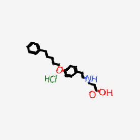 Cl.O=C(O)CCNCCc1ccc(OCCCCCc2ccccc2)cc1